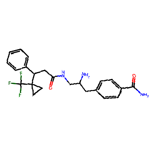 NC(=O)c1ccc(CC(N)CNC(=O)CC(c2ccccc2)C2(C(F)(F)F)CC2)cc1